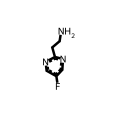 NCCc1ncc(F)cn1